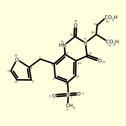 CS(=O)(=O)c1cc(Cc2ccco2)c2[nH]c(=O)n(C(CC(=O)O)C(=O)O)c(=O)c2c1